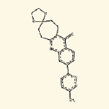 Cc1ccc(-c2ccc3c(=O)n4c(nc3c2)CCC2(CC4)OCCO2)nc1